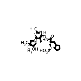 Cc1nc(NNC(=O)[C@@H](CNC(=O)O)CC2CCCC2)c(F)c(N2C[C@@H](O)C(C)(C)C2)n1